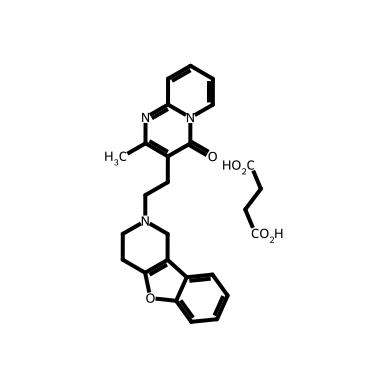 Cc1nc2ccccn2c(=O)c1CCN1CCc2oc3ccccc3c2C1.O=C(O)CCC(=O)O